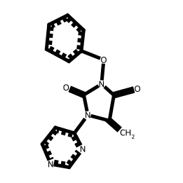 C=C1C(=O)N(Oc2ccccc2)C(=O)N1c1ccncn1